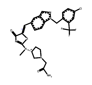 CN(C1=NC(=O)/C(=C/c2ccc3c(cnn3Cc3ccc(Cl)cc3C(F)(F)F)c2)S1)[C@@H]1CCN(CC(N)=O)C1